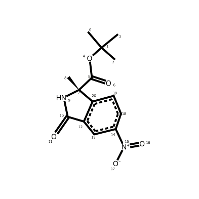 CC(C)(C)OC(=O)[C@@]1(C)NC(=O)c2cc([N+](=O)[O-])ccc21